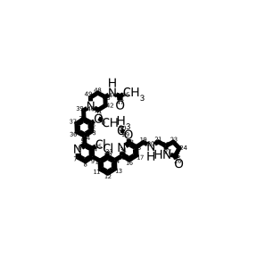 COc1cc(-c2nccc(-c3cccc(-c4ccc(CNCC5CCC(=O)N5)c(OC)n4)c3Cl)c2Cl)ccc1CN1CCC(NC(C)=O)CC1